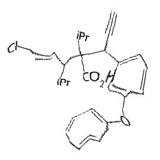 C#CC(c1cccc(Oc2ccccc2)c1)C(C(=O)O)(C(C)C)C(C=CCl)C(C)C